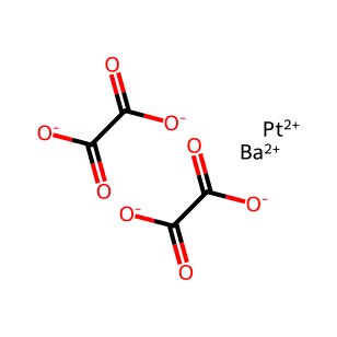 O=C([O-])C(=O)[O-].O=C([O-])C(=O)[O-].[Ba+2].[Pt+2]